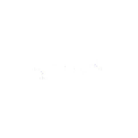 CCCCN(CCCC)c1ccc(/C=C/C=C/c2ccc(N(C)C)cc2)cc1